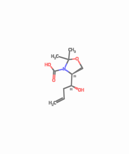 C=CC[C@H](O)[C@@H]1COC(C)(C)N1C(=O)O